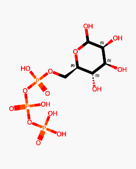 O=P(O)(O)OP(=O)(O)OP(=O)(O)OC[C@H]1OC(O)[C@@H](O)[C@@H](O)[C@@H]1O